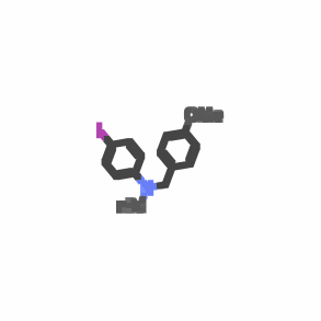 CCCCN(Cc1ccc(OC)cc1)c1ccc(I)cc1